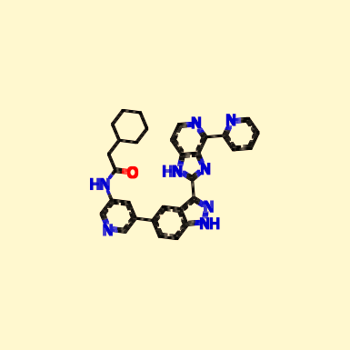 O=C(CC1CCCCC1)Nc1cncc(-c2ccc3[nH]nc(-c4nc5c(-c6ccccn6)nccc5[nH]4)c3c2)c1